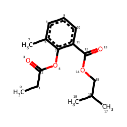 CCC(=O)Oc1c(C)cccc1C(=O)OCC(C)C